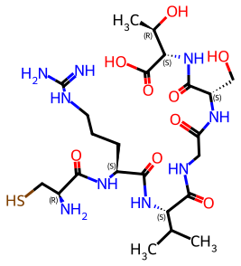 CC(C)[C@H](NC(=O)[C@H](CCCNC(=N)N)NC(=O)[C@@H](N)CS)C(=O)NCC(=O)N[C@@H](CO)C(=O)N[C@H](C(=O)O)[C@@H](C)O